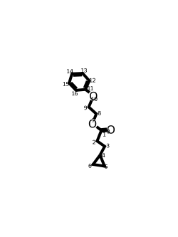 O=C(CCC1CC1)OCCOc1ccccc1